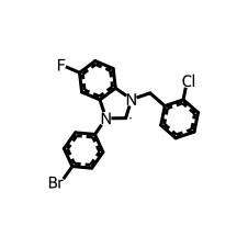 Fc1ccc2c(c1)N(c1ccc(Br)cc1)[CH]N2Cc1ccccc1Cl